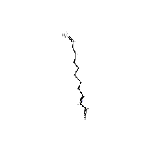 C=CCCCCCCC/C=C/C=O